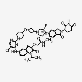 CNC(=O)COc1cc2cc(Nc3nc(N4CCC(O[C@H]5C[C@H](N6CC[C@H](c7ccc8c(c7)CN(C7CCC(=O)NC7=O)C8=O)[C@H](F)C6)C5)CC4)ncc3Cl)ccc2n(C(C)C)c1=O